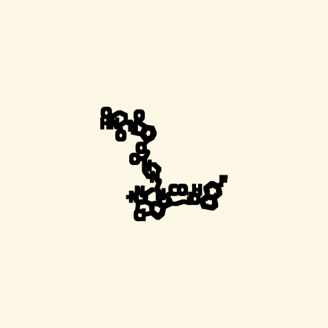 Cc1nn(C)c(C)c1-c1c(Cl)ccc2c(CCCOc3cccc4cc(F)ccc34)c(C(=O)O)n(CCN3CCN(C(=O)COc4cccc5c4CN(C4CCC(=O)NC4=O)C5=O)CC3)c12